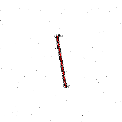 CC(C)C(=O)CCOCCOCCOCCOCCOCCOCCOCCOCCOCCOCCOCCOCCOCCOCCOCCOCCOCCOCCOCCOCCOCCOCCOCCOCCOCCC(=O)C(C)(C)C